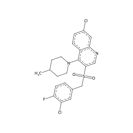 CC1CCN(c2c(S(=O)(=O)Cc3ccc(F)c(Cl)c3)cnc3cc(Cl)ccc23)CC1